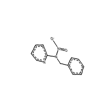 O=[N+]([O-])N(Cc1ccccc1)c1ccccn1